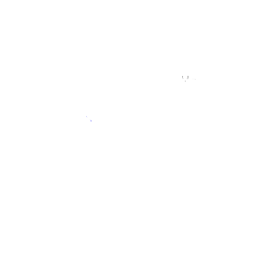 CO/C=C/c1cc(C)ccn1